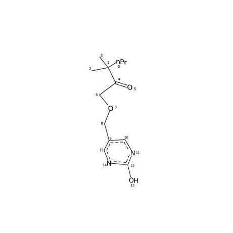 CCCC(C)(C)C(=O)COCc1cnc(O)nc1